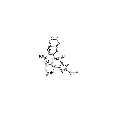 O=C(O)C(=O)C(Cc1ccccc1)NC(=O)c1cn(C2CC2)nc1-c1ccccn1